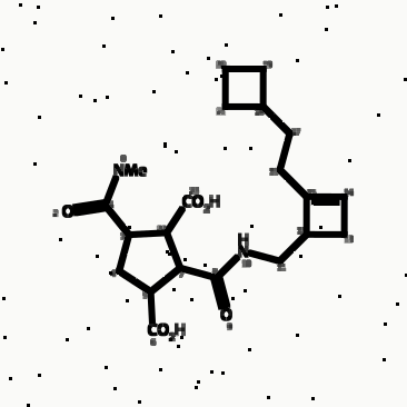 CNC(=O)C1CC(C(=O)O)C(C(=O)NCC2CC=C2CCC2CCC2)C1C(=O)O